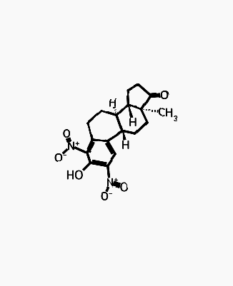 C[C@]12CC[C@@H]3c4cc([N+](=O)[O-])c(O)c([N+](=O)[O-])c4CC[C@H]3[C@@H]1CCC2=O